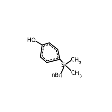 CCCC[Si](C)(C)c1ccc(O)cc1